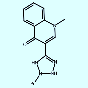 CC(C)N1NN=C(c2cn(C)c3ccccc3c2=O)N1